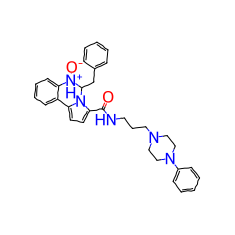 O=C(NCCCN1CCN(c2ccccc2)CC1)c1ccc2n1C(Cc1ccccc1)[NH+]([O-])c1ccccc1-2